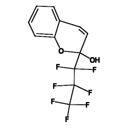 OC1(C(F)(F)C(F)(F)C(F)(F)F)C=Cc2ccccc2O1